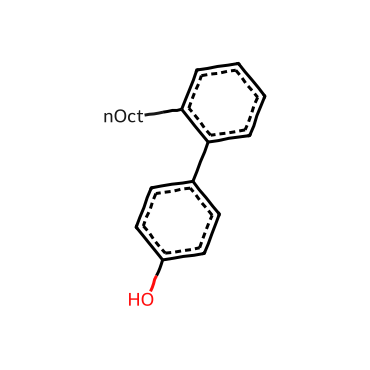 CCCCCCCCc1ccccc1-c1ccc(O)cc1